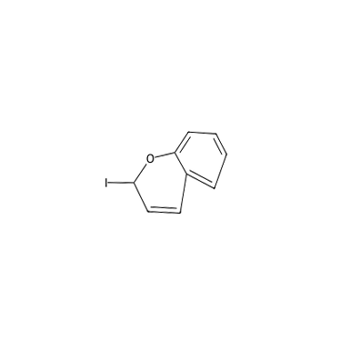 IC1C=Cc2ccccc2O1